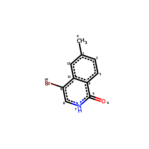 Cc1ccc2c(=O)[nH]cc(Br)c2c1